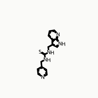 S=C(NCc1ccncc1)NCc1c[nH]c2ncccc12